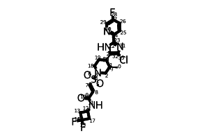 C[C@H]1CN(S(=O)(=O)C=CC(=O)NC2CC(F)(F)C2)CC[C@H]1c1[nH]c(-c2ccc(F)cn2)nc1Cl